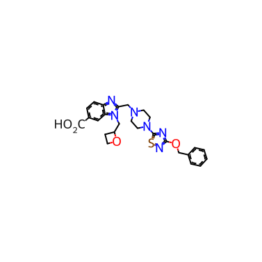 O=C(O)c1ccc2nc(CN3CCN(c4nc(OCc5ccccc5)ns4)CC3)n(CC3CCO3)c2c1